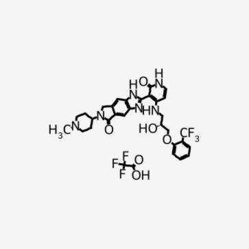 CN1CCC(N2Cc3cc4[nH]c(-c5c(NC[C@@H](O)COc6ccccc6C(F)(F)F)cc[nH]c5=O)nc4cc3C2=O)CC1.O=C(O)C(F)(F)F